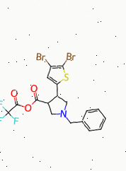 O=C(OC(=O)C(F)(F)F)C1CN(Cc2ccccc2)CC1c1cc(Br)c(Br)s1